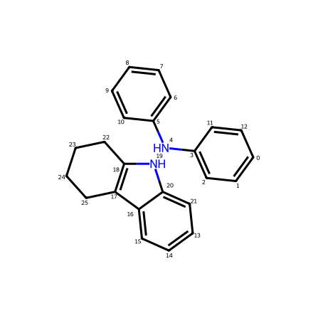 c1ccc(Nc2ccccc2)cc1.c1ccc2c3c([nH]c2c1)CCCC3